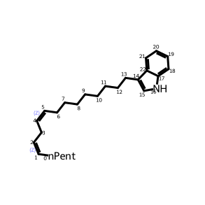 CCCCC/C=C\C/C=C\CCCCCCCCc1c[nH]c2ccccc12